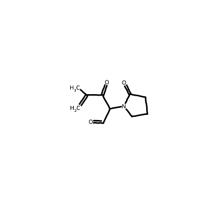 C=C(C)C(=O)C(C=O)N1CCCC1=O